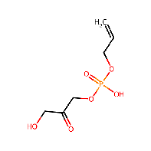 C=CCOP(=O)(O)OCC(=O)CO